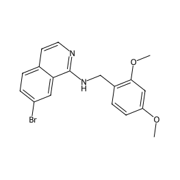 COc1ccc(CNc2nccc3ccc(Br)cc23)c(OC)c1